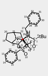 CC(C)(C)[S+]([O-])NC1(C(F)(F)S(=O)(=O)c2ccccc2)CC2CCC(C1)N2C(=O)OCc1ccccc1